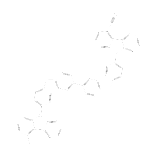 Cc1cccc2c1c1ccccc1n2-c1ccc2oc3ccc(-c4ccc5sc6ccc(-n7c8ccccc8c8c(C#N)cccc87)cc6c5c4)cc3c2c1